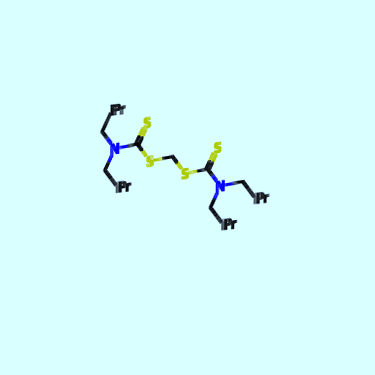 CC(C)CN(CC(C)C)C(=S)SCSC(=S)N(CC(C)C)CC(C)C